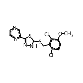 COc1ccc(Cl)c(CSC2NN=C(c3cnccn3)S2)c1Cl